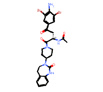 CC(=O)N[C@@H](CC(=O)c1cc(Br)c(N)c(Br)c1)C(=O)N1CCC(N2CCc3ccccc3NC2=O)CC1